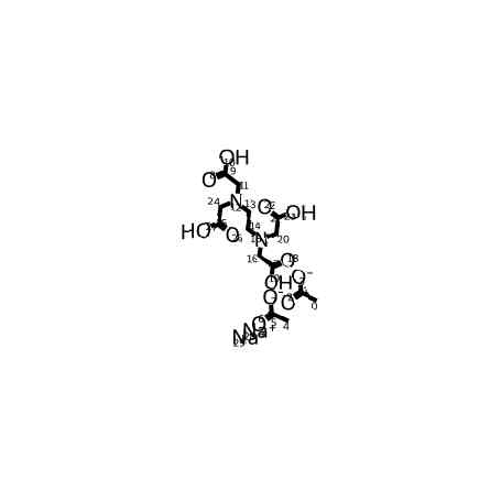 CC(=O)[O-].CC(=O)[O-].O=C(O)CN(CCN(CC(=O)O)CC(=O)O)CC(=O)O.[Na+].[Na+]